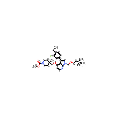 CC1(COc2ccnc3c2c(-c2ccc(CC#N)c(F)c2)cn3COCC[Si](C)(C)C)CCN(C(=O)OC(C)(C)C)CC1